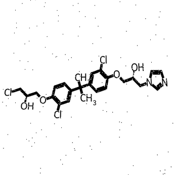 CC(C)(c1ccc(OC[C@@H](O)CCl)c(Cl)c1)c1ccc(OC[C@H](O)Cn2ccnc2)c(Cl)c1